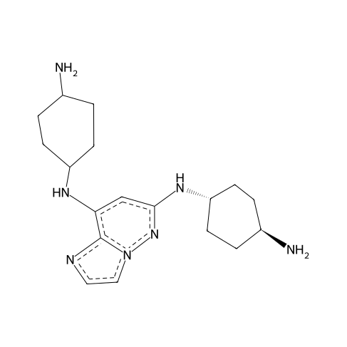 NC1CCC(Nc2cc(N[C@H]3CC[C@H](N)CC3)nn3ccnc23)CC1